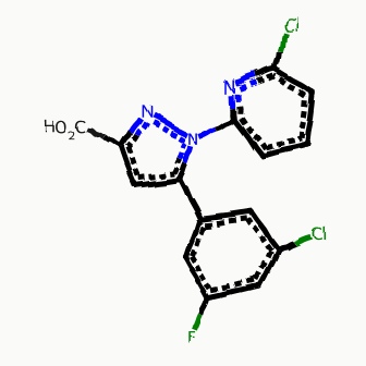 O=C(O)c1cc(-c2cc(F)cc(Cl)c2)n(-c2cccc(Cl)n2)n1